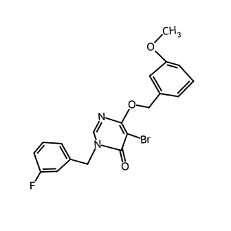 COc1cccc(COc2ncn(Cc3cccc(F)c3)c(=O)c2Br)c1